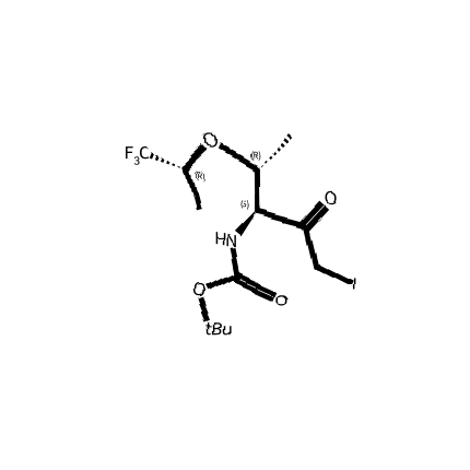 C[C@@H](O[C@H](C)C(F)(F)F)[C@H](NC(=O)OC(C)(C)C)C(=O)CI